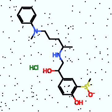 CC(CCCN(C)c1ccccc1)NCC(O)c1ccc(O)c([S+](C)[O-])c1.Cl